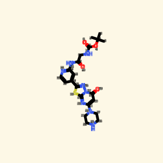 CC(C)(C)OC(=O)NCC(=O)Nc1cc(-c2nn3c(=O)cc(N4CCNCC4)nc3s2)ccn1